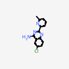 Cc1cccc(-c2nc(N)c3cc(Cl)ccc3n2)n1